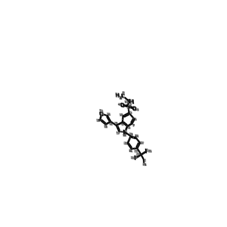 CNS(=O)(=O)c1ccc2c(c1)c(-c1ccoc1)cn2-c1ccc(C(F)(F)F)cc1